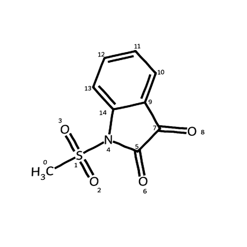 CS(=O)(=O)N1C(=O)C(=O)c2ccccc21